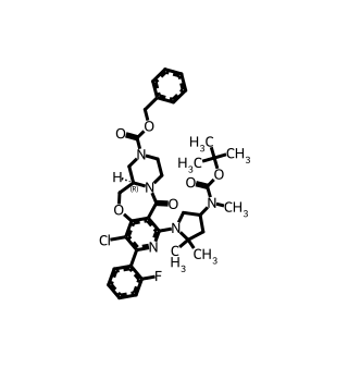 CN(C(=O)OC(C)(C)C)C1CN(c2nc(-c3ccccc3F)c(Cl)c3c2C(=O)N2CCN(C(=O)OCc4ccccc4)C[C@@H]2CO3)C(C)(C)C1